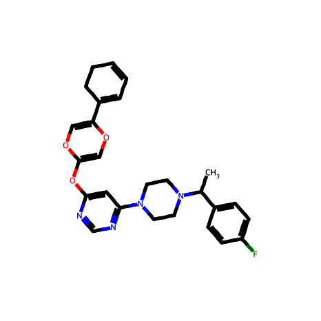 CC(c1ccc(F)cc1)N1CCN(c2cc(OC3=COC(C4=CC=CCC4)=CO3)ncn2)CC1